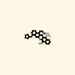 Cc1c2c(c(C(C)C)c3ccccc13)Sc1cc3c(CC4CCCC4)cccc3c3cc[n+](C)c-2c13